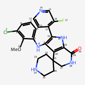 COc1c(Cl)cccc1Nc1c(-c2ccncc2F)[nH]c2c1C1(CCNCC1)CNC2=O